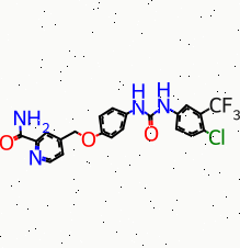 NC(=O)c1cc(COc2ccc(NC(=O)Nc3ccc(Cl)c(C(F)(F)F)c3)cc2)ccn1